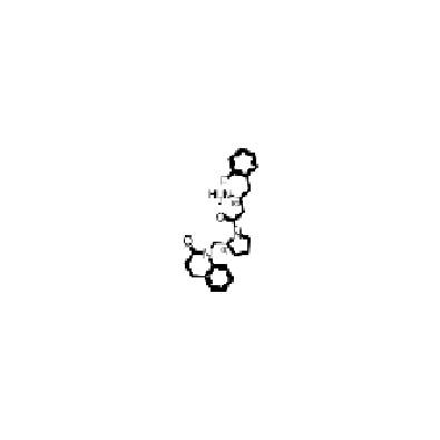 N[C@@H](CC(=O)N1CCC[C@H]1CN1C(=O)CCc2ccccc21)Cc1ccccc1F